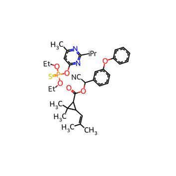 CC(C)=CC1C(C(=O)OC(C#N)c2cccc(Oc3ccccc3)c2)C1(C)C.CCOP(=S)(OCC)Oc1cc(C)nc(C(C)C)n1